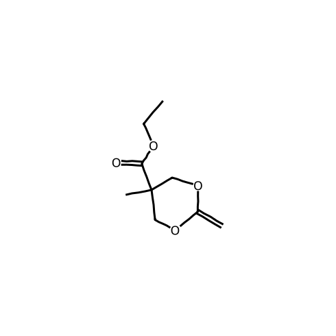 C=C1OCC(C)(C(=O)OCC)CO1